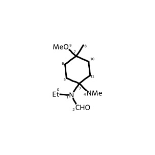 CCN(C=O)C1(NC)CCC(C)(OC)CC1